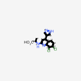 C[C@H](Nc1cc(-c2cn[nH]c2)c2ccc(Cl)c(Cl)c2n1)C(=O)O